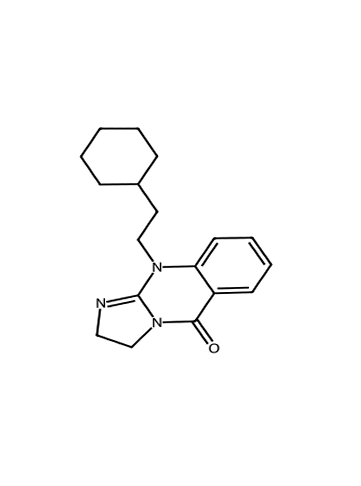 O=C1c2ccccc2N(CCC2CCCCC2)C2=NCCN12